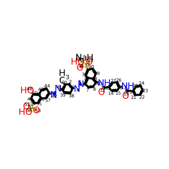 Cc1cc(N=Nc2ccc(NC(=O)c3ccc(NC(=O)c4ccccc4)cc3)c3ccc(S(=O)(=O)O)cc23)ccc1N=Nc1ccc2c(O)cc(S(=O)(=O)O)cc2c1.[NaH]